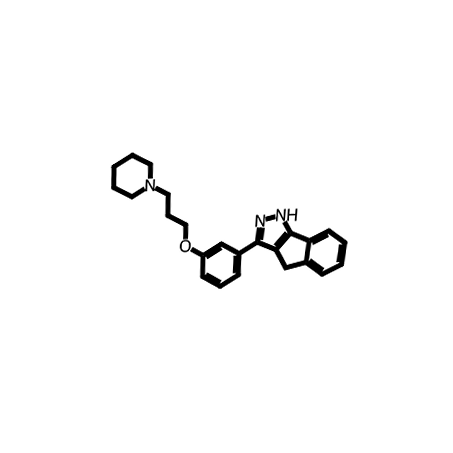 c1cc(OCCCN2CCCCC2)cc(-c2n[nH]c3c2Cc2ccccc2-3)c1